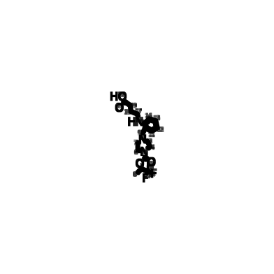 CC(OC(=O)N1CCN(Cc2ccccc2NCCCC(=O)O)CC1)C(F)(F)F